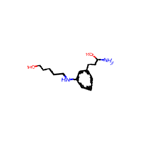 NC(O)CCc1cccc(NCCCCCO)c1